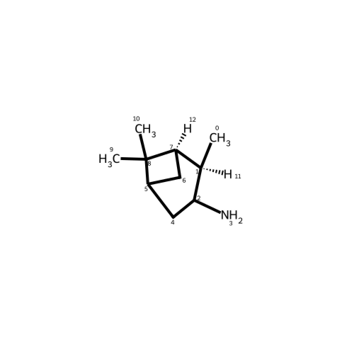 C[C@H]1C(N)CC2C[C@H]1C2(C)C